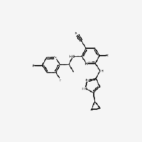 CC(Nc1nc(Nc2cc(C3CC3)[nH]n2)c(F)cc1C#N)c1ncc(F)cc1F